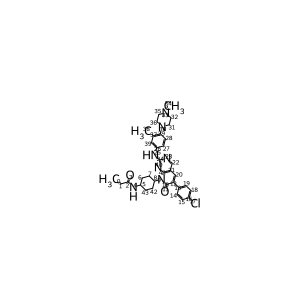 CCC(=O)NC1CCC(n2c(=O)c(-c3ccc(Cl)cc3)cc3cnc(Nc4ccc(N5CCN(C)CC5)c(C)c4)nc32)CC1